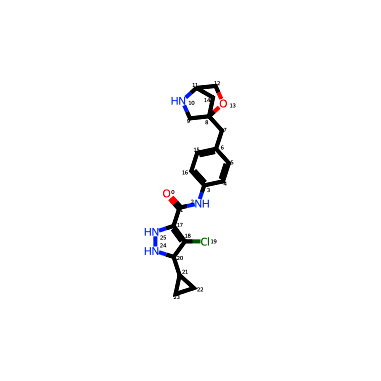 O=C(Nc1ccc(CC23CNC(CO2)C3)cc1)C1=C(Cl)C(C2CC2)NN1